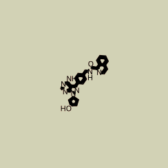 Nc1ncnc2c1c(-c1ccc(CNC(=O)c3nccc4ccccc34)cc1)nn2C1CCC(O)C1